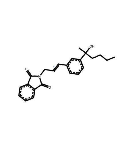 CCCCC(C)(O)c1cccc(/C=C/CN2C(=O)c3ccccc3C2=O)c1